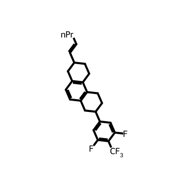 CCC/C=C/C1CCc2c(ccc3c2CCC(c2cc(F)c(C(F)(F)F)c(F)c2)C3)C1